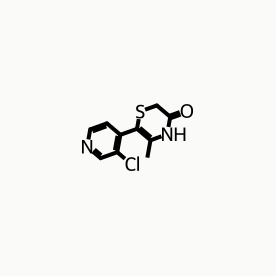 CC1=C(c2ccncc2Cl)SCC(=O)N1